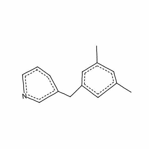 Cc1cc(C)cc(Cc2cccnc2)c1